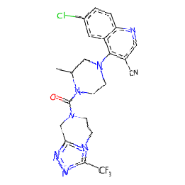 CC1CN(c2c(C#N)cnc3ccc(Cl)cc23)CCN1C(=O)N1CCn2c(nnc2C(F)(F)F)C1